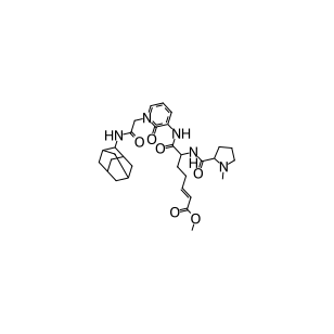 COC(=O)/C=C/CCC(NC(=O)C1CCCN1C)C(=O)Nc1cccn(CC(=O)NC2C3CC4CC(C3)CC2C4)c1=O